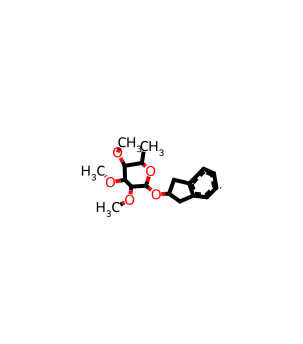 COC1C(C)OC(OC2Cc3c[c]ccc3C2)C(OC)C1OC